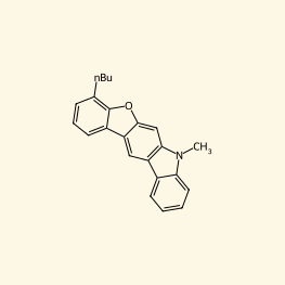 CCCCc1cccc2c1oc1cc3c(cc12)c1ccccc1n3C